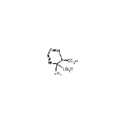 CC1(C(=O)O)N=CC=NC1C(=O)O